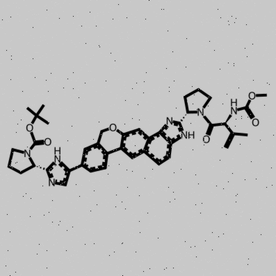 C=C(C)[C@H](NC(=O)OC)C(=O)N1CCC[C@H]1c1nc2c(ccc3cc4c(cc32)OCc2cc(-c3cnc([C@@H]5CCCN5C(=O)OC(C)(C)C)[nH]3)ccc2-4)[nH]1